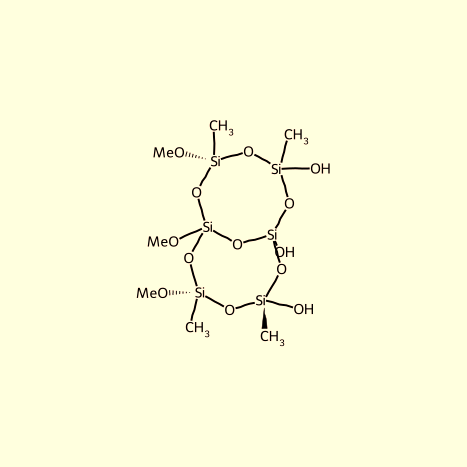 CO[Si]12O[Si](O)(O[Si](C)(O)O[Si@@](C)(OC)O1)O[Si@](C)(O)O[Si@](C)(OC)O2